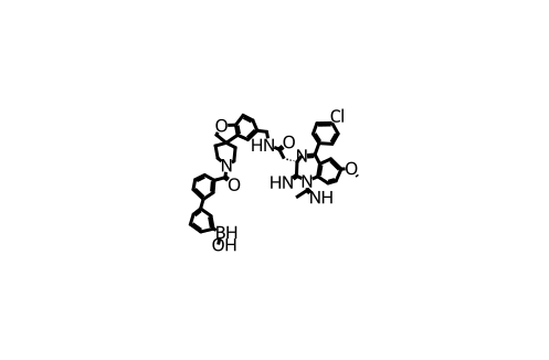 COc1ccc2c(c1)C(c1ccc(Cl)cc1)=N[C@@H](CC(=O)NCc1ccc3c(c1)C1(CCN(C(=O)c4cccc(-c5cccc(BO)c5)c4)CC1)CO3)C(=N)N2C(C)=N